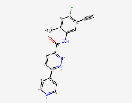 C#Cc1cc(NC(=O)c2ccc(-c3ccncc3)nn2)c(C(=O)O)cc1F